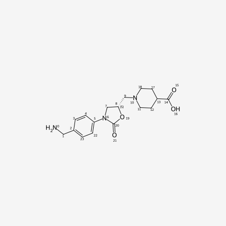 NCc1ccc(N2C[C@H](CN3CCC(C(=O)O)CC3)OC2=O)cc1